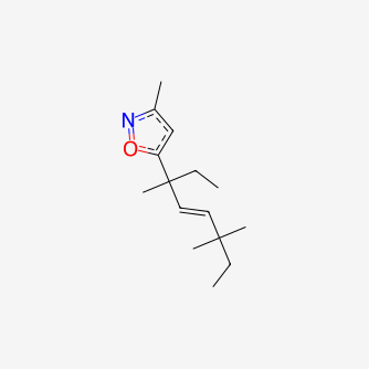 CCC(C)(C)/C=C/C(C)(CC)c1cc(C)no1